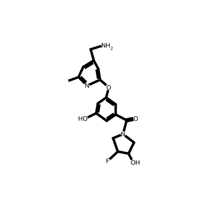 Cc1cc(CN)cc(Oc2cc(O)cc(C(=O)N3CC(O)C(F)C3)c2)n1